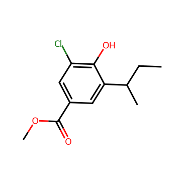 CCC(C)c1cc(C(=O)OC)cc(Cl)c1O